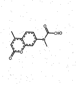 Cc1cc(=O)oc2cc(N(C)C(=O)C=O)ccc12